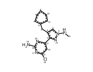 CPn1cc(Cc2ccccc2)c(-c2cc(Cl)nc(N)n2)n1